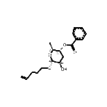 C=CCCCO[C@@H]1O[C@@H](C)[C@H](OC(=O)c2ccccc2)C[C@H]1O